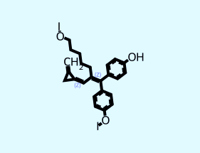 C=C1C/C1=C/C(CCCCCOI)=C(/c1ccc(O)cc1)c1ccc(OI)cc1